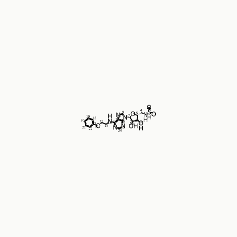 O=[SH](=O)NC[C@H]1O[C@@H](n2cnc3c(NCCOc4ccccc4)ncnc32)[C@H](O)[C@@H]1O